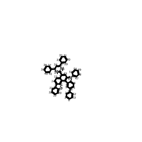 c1ccc(-c2ccc3c(c2)c2c4c(ccc5c6ccccc6sc54)c(-c4nc(-c5ccccc5)cc(-c5ccccc5)n4)cc2n3-c2ccccc2)cc1